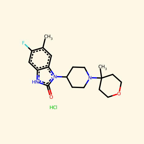 Cc1cc2c(cc1F)[nH]c(=O)n2C1CCN(C2(C)CCOCC2)CC1.Cl